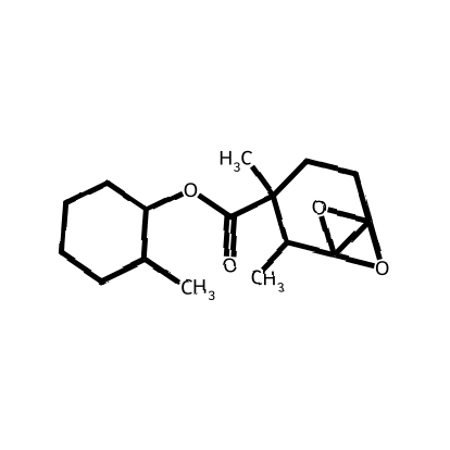 CC1CCCCC1OC(=O)C1(C)CCC23OC2(O3)C1C